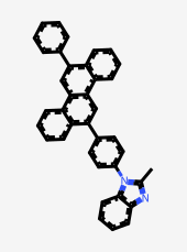 Cc1nc2ccccc2n1-c1ccc(-c2cc3c4ccccc4c(-c4ccccc4)cc3c3ccccc23)cc1